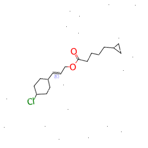 O=C(CCCCC1CC1)OC/C=C/C1CCC(Cl)CC1